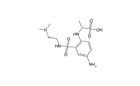 CC(Nc1ccc(N)cc1S(=O)(=O)NCCN(C)C)S(=O)(=O)O